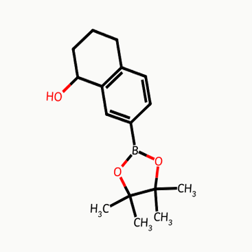 CC1(C)OB(c2ccc3c(c2)C(O)CCC3)OC1(C)C